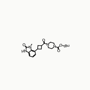 Cn1c(=O)[nH]c2cccc(C3CC(C(=O)N4CCN(C(=O)OC(C)(C)C)CC4)C3)c21